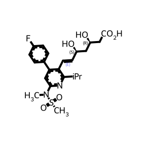 CC(C)c1nc(N(C)S(C)(=O)=O)cc(-c2ccc(F)cc2)c1/C=C/[C@@H](O)C[C@@H](O)CC(=O)O